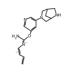 C=C/C=C\N=C(/N)Oc1cncc(N2CC3CNC(C3)C2)c1